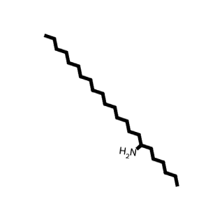 CCCCCCCCCCCCCCCCC(N)CCCCCC